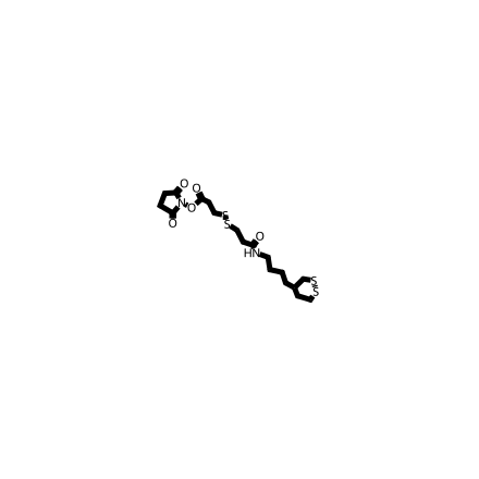 O=C(CCSSCCC(=O)ON1C(=O)CCC1=O)NCCCCC1CCSSC1